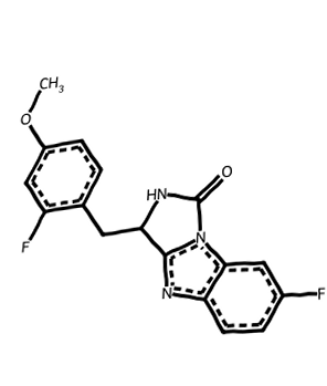 COc1ccc(CC2NC(=O)n3c2nc2ccc(F)cc23)c(F)c1